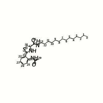 CCCCCCCCCCCCCCNC(=O)[C@@H]1CSC(c2ccccc2NC(C)=O)N1